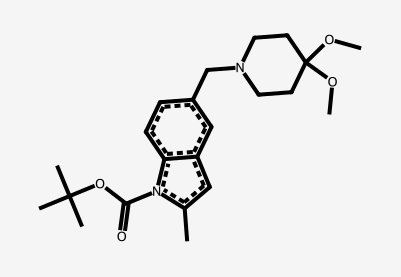 COC1(OC)CCN(Cc2ccc3c(c2)cc(C)n3C(=O)OC(C)(C)C)CC1